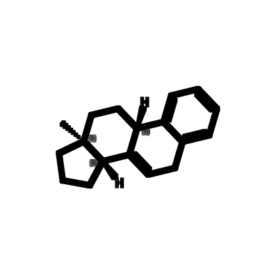 C[C@@]12CCC[C@H]1C1=CCc3ccccc3[C@H]1CC2